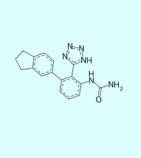 NC(=O)Nc1cccc(-c2ccc3c(c2)CCC3)c1-c1nnn[nH]1